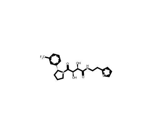 O=C(NCCc1cccs1)[C@H](O)[C@@H](O)C(=O)N1CCC[C@@H]1c1cccc(C(F)(F)F)c1